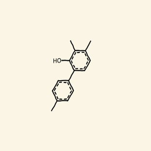 Cc1ccc(-c2ccc(C)c(C)c2O)cc1